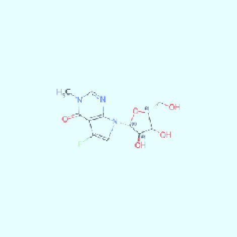 Cn1cnc2c(c(F)cn2[C@@H]2O[C@H](CO)C(O)[C@H]2O)c1=O